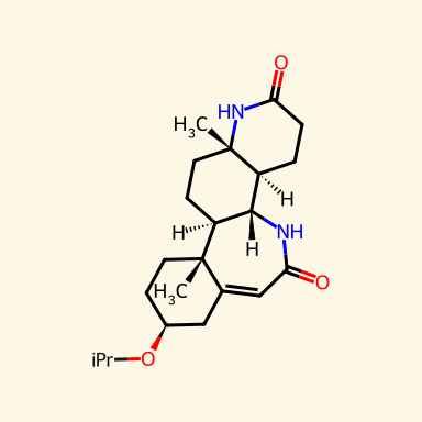 CC(C)O[C@H]1CC[C@@]2(C)C(=CC(=O)N[C@@H]3[C@@H]2CC[C@]2(C)NC(=O)CC[C@@H]32)C1